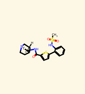 CS(=O)(=O)Nc1ccccc1-c1ccc(C(=O)N[C@H]2CN3CCC2CC3)s1